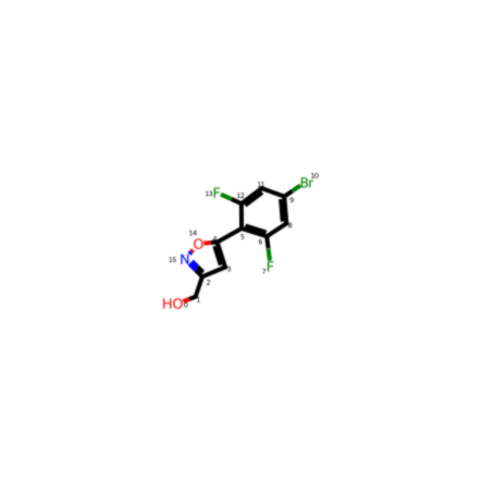 OCc1cc(-c2c(F)cc(Br)cc2F)on1